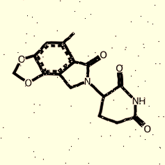 Cc1cc2c(c3c1C(=O)N(C1CCC(=O)NC1=O)C3)OCO2